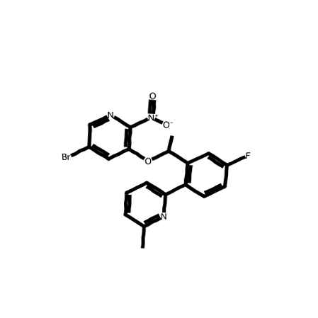 Cc1cccc(-c2ccc(F)cc2C(C)Oc2cc(Br)cnc2[N+](=O)[O-])n1